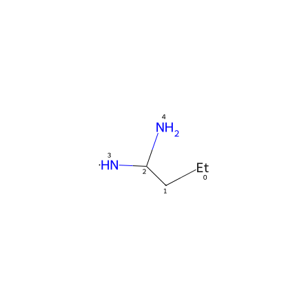 CCCC([NH])N